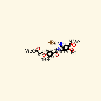 Br.CCOc1cc2c(cc1C(=O)NC)C(=N)N(CC(=O)c1ccc(OCCC(=O)OC)c(C(C)(C)C)c1)C2